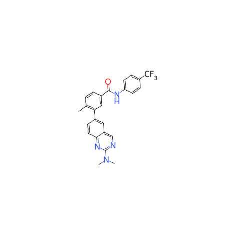 Cc1ccc(C(=O)Nc2ccc(C(F)(F)F)cc2)cc1-c1ccc2nc(N(C)C)ncc2c1